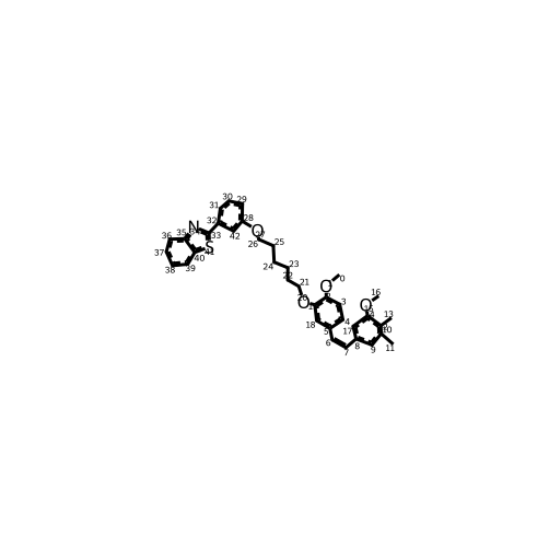 COc1ccc(/C=C\c2cc(C)c(C)c(OC)c2)cc1OCCCCCCOc1cccc(-c2nc3ccccc3s2)c1